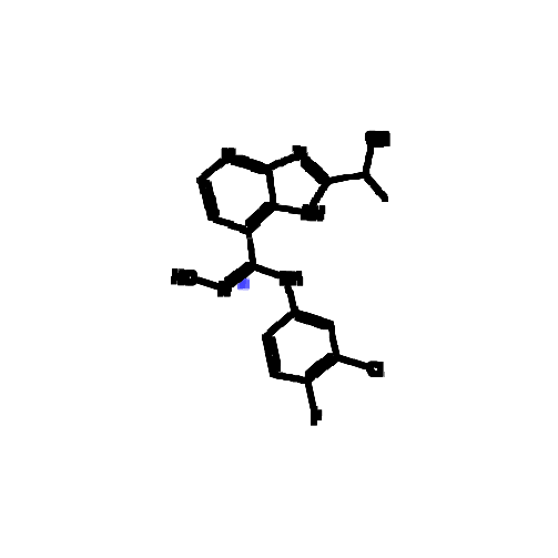 CC(O)c1nc2nccc(/C(=N\O)Nc3ccc(F)c(Cl)c3)c2[nH]1